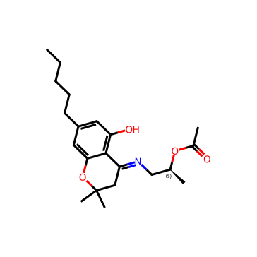 CCCCCc1cc(O)c2c(c1)OC(C)(C)CC2=NC[C@H](C)OC(C)=O